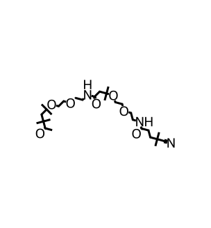 CC(=O)C(C)(C)CC(C)(C)OCCOCCNC(=O)CC(C)(C)OCCOCCNC(=O)CCC(C)(C)C#N